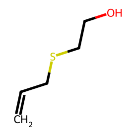 C=CCSCCO